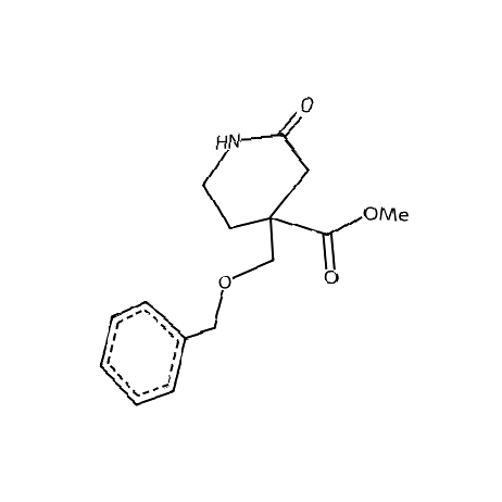 COC(=O)C1(COCc2ccccc2)CCNC(=O)C1